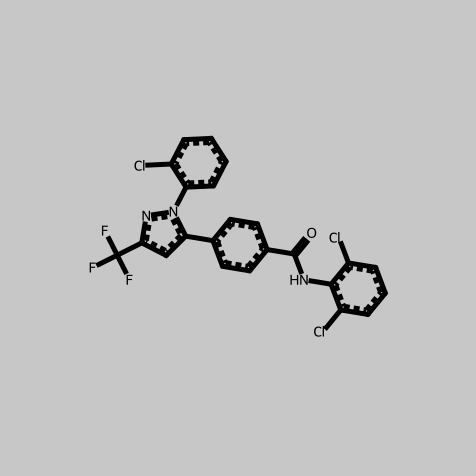 O=C(Nc1c(Cl)cccc1Cl)c1ccc(-c2cc(C(F)(F)F)nn2-c2ccccc2Cl)cc1